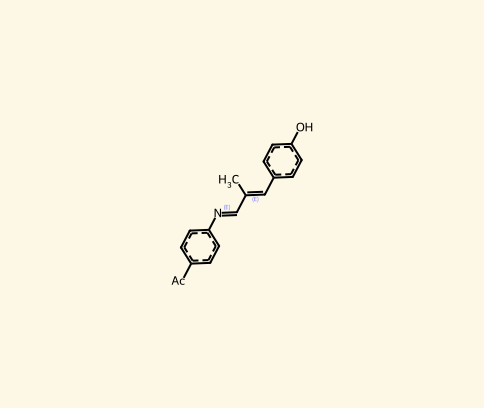 CC(=O)c1ccc(/N=C/C(C)=C/c2ccc(O)cc2)cc1